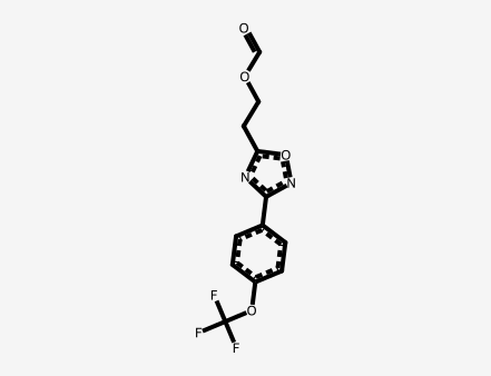 O=COCCc1nc(-c2ccc(OC(F)(F)F)cc2)no1